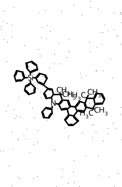 CC1(C)c2ccccc2C(C)(C)c2cc3c(cc21)c1ccccc1c1cc2c(cc13)C(C)(C)C1C=C(c3cccc([Si](c4ccccc4)(c4ccccc4)c4ccccc4)c3)C=CC1N2c1ccccc1